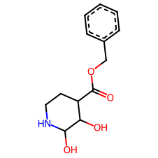 O=C(OCc1ccccc1)C1CCNC(O)C1O